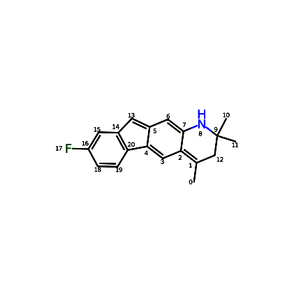 CC1=c2cc3c(cc2NC(C)(C)C1)=Cc1cc(F)ccc1-3